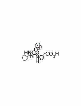 O=C(O)Cc1cccc(NC(=O)c2nc(C3CCCCCC3)[nH]c2COC23CC4CC(CC(C4)C2)C3)c1